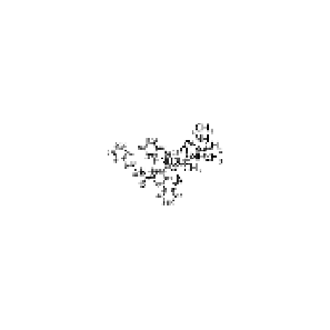 CCNC(=O)[C@@H](NC(=O)[C@H](C)NC[C@H](Cc1ccccc1)NC(=O)c1cc(C(=O)NCCCc2ccccc2)cc(-c2ccccc2C#N)c1)C(C)C